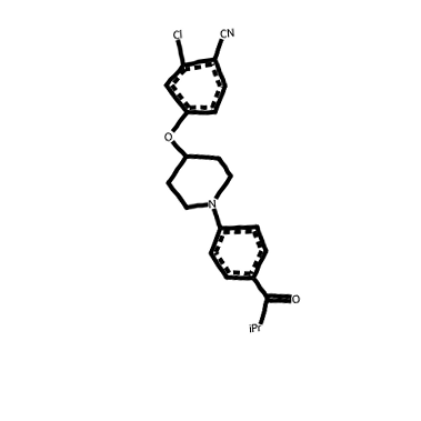 CC(C)C(=O)c1ccc(N2CCC(Oc3ccc(C#N)c(Cl)c3)CC2)cc1